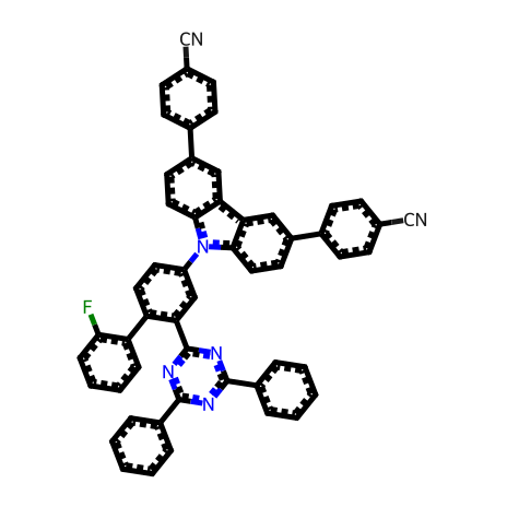 N#Cc1ccc(-c2ccc3c(c2)c2cc(-c4ccc(C#N)cc4)ccc2n3-c2ccc(-c3ccccc3F)c(-c3nc(-c4ccccc4)nc(-c4ccccc4)n3)c2)cc1